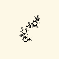 CN(C)c1ccnc(N[C@H]2CC[C@@H](CNCc3cc(F)cc(C(F)(F)F)c3)CC2)n1